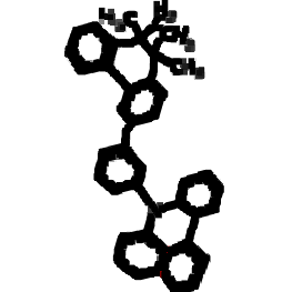 CC1(C)c2ccccc2-c2cc(-c3cccc(N(c4ccccc4)c4ccccc4-c4ccccc4)c3)ccc2C1(C)C